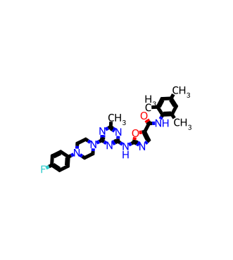 Cc1cc(C)c(NC(=O)c2cnc(Nc3nc(C)nc(N4CCN(c5ccc(F)cc5)CC4)n3)o2)c(C)c1